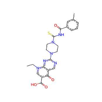 CCn1cc(C(=O)O)c(=O)c2cnc(N3CCN(C(=S)NC(=O)c4cccc(C)c4)CC3)nc21